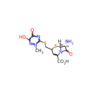 Cn1nc(O)c(=O)nc1SCC1C=C(C(=O)O)N2C(=O)[C@@H](N)[C@H]2S1